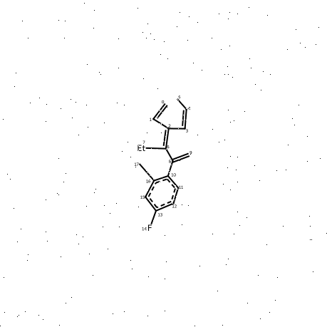 C=CC(/C=C\C)=C(\CC)C(=C)c1ccc(F)cc1C